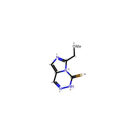 COCc1ncc2cn[nH]c(=S)n12